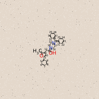 Cc1oc(-c2ccccc2)cc1CC(O)N1CCN(C(c2ccccc2)c2ccccc2)CC1